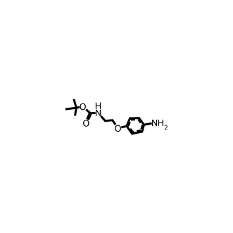 CC(C)(C)OC(=O)NCCOc1ccc(N)cc1